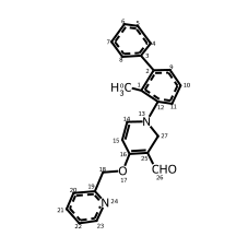 Cc1c(-c2ccccc2)cccc1N1C=CC(OCc2ccccn2)=C(C=O)C1